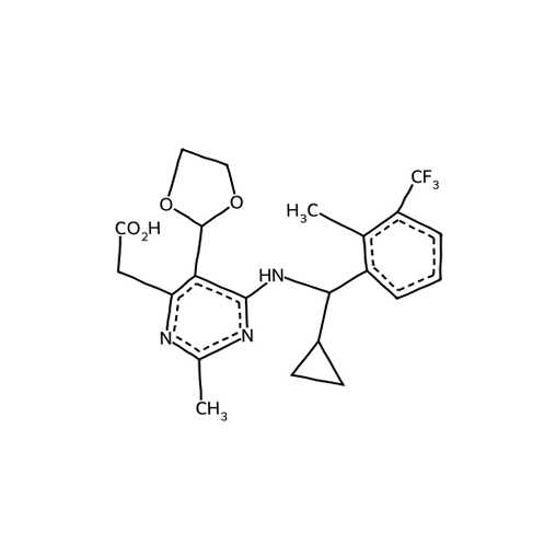 Cc1nc(CC(=O)O)c(C2OCCO2)c(NC(c2cccc(C(F)(F)F)c2C)C2CC2)n1